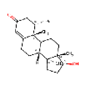 CCC[C@H]1CC(=O)C=C2CC[C@@H]3C(CC[C@]4(C)[C@@H](O)CC[C@@]34C)[C@]21C